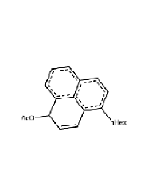 CCCCCCc1ccc2cccc3c2c1C=CC3OC(C)=O